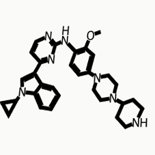 COc1cc(N2CCN(C3CCNCC3)CC2)ccc1Nc1nccc(-c2cn(C3CC3)c3ccccc23)n1